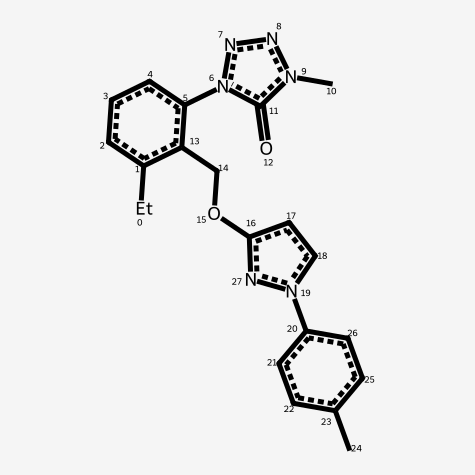 CCc1cccc(-n2nnn(C)c2=O)c1COc1ccn(-c2ccc(C)cc2)n1